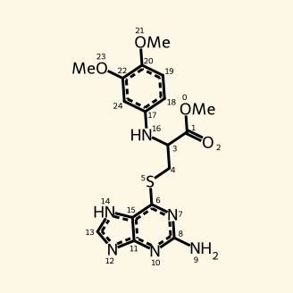 COC(=O)C(CSc1nc(N)nc2nc[nH]c12)Nc1ccc(OC)c(OC)c1